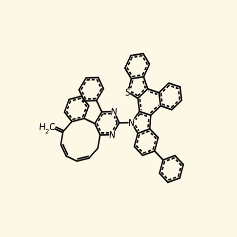 C=C1/C=C\C=C/Cc2nc(-n3c4ccc(-c5ccccc5)cc4c4c5ccccc5c5c6ccccc6sc5c43)nc(-c3ccccc3)c2-c2ccccc21